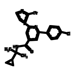 CC(C)c1nccn1-c1cc(C(=O)NC(C)(C)C2CC2)cc(-c2ccc(Cl)cc2)n1